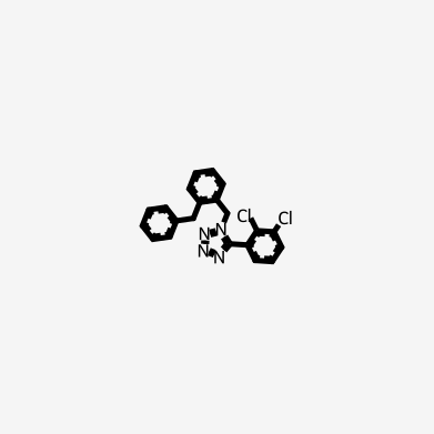 Clc1cccc(-c2nnnn2Cc2ccccc2Cc2ccccc2)c1Cl